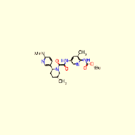 CNc1ccc([C@@H]2CC[C@@H](C)CN2C(=O)C(=O)Nc2cnc(NC(=O)OC(C)(C)C)c(C)c2)cn1